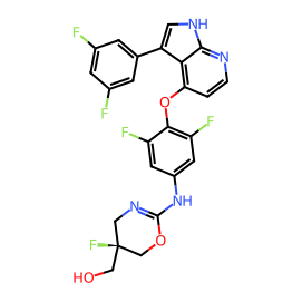 OC[C@]1(F)CN=C(Nc2cc(F)c(Oc3ccnc4[nH]cc(-c5cc(F)cc(F)c5)c34)c(F)c2)OC1